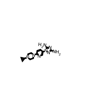 Nc1nc(N)n(-c2ccc(N3CCN(C4CC4)CC3)nc2)n1